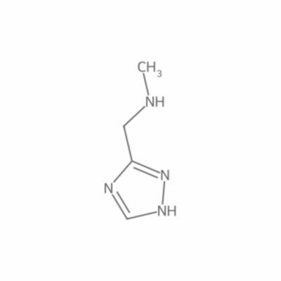 CNCc1nc[nH]n1